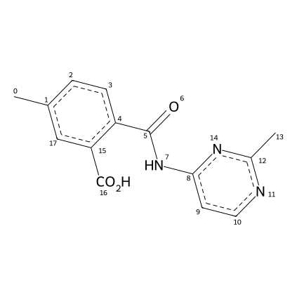 Cc1ccc(C(=O)Nc2ccnc(C)n2)c(C(=O)O)c1